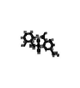 COc1ncc(N)cc1S(=O)(=O)Nc1c(C)cccc1C